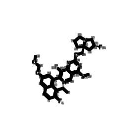 CCc1c(F)ccc2cc(OCOC)cc(-c3ncc4c(SC)nc(OC[C@@]56CCCN5C[C@H](F)C6)nc4c3F)c12